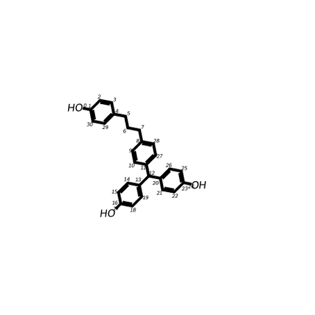 Oc1ccc(CCCc2ccc(C(c3ccc(O)cc3)c3ccc(O)cc3)cc2)cc1